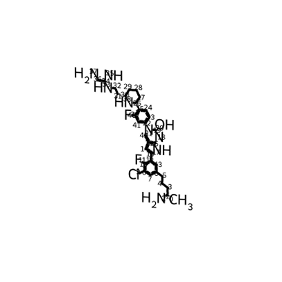 C[C@H](N)CCCc1cc(Cl)c(F)c(-c2cc3c([nH]2)=NC(O)N(c2ccc([C@@H]4CCC[C@@H](CCNC(=N)CN)N4)c(F)c2)C=3)c1